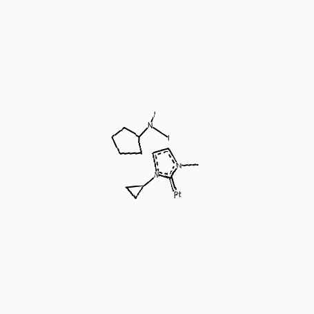 Cn1ccn(C2CC2)[c]1=[Pt].IN(I)C1CCCC1